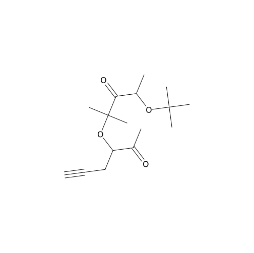 C#CCC(OC(C)(C)C(=O)C(C)OC(C)(C)C)C(C)=O